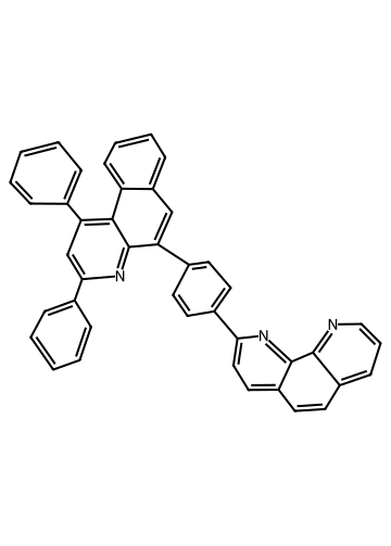 c1ccc(-c2cc(-c3ccccc3)c3c(n2)c(-c2ccc(-c4ccc5ccc6cccnc6c5n4)cc2)cc2ccccc23)cc1